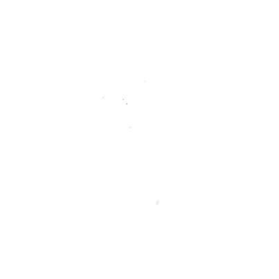 CC(C)CC[C@@H](C)ON(O)O